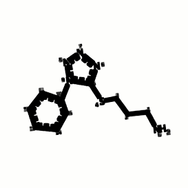 NCCCSc1nnnn1-c1ccccc1